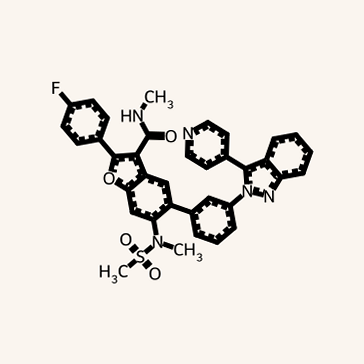 CNC(=O)c1c(-c2ccc(F)cc2)oc2cc(N(C)S(C)(=O)=O)c(-c3cccc(-n4nc5ccccc5c4-c4ccncc4)c3)cc12